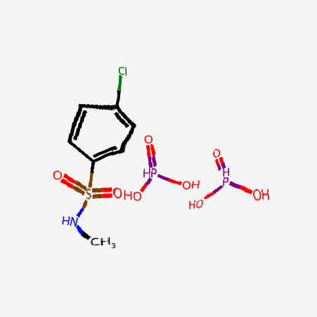 CNS(=O)(=O)c1ccc(Cl)cc1.O=[PH](O)O.O=[PH](O)O